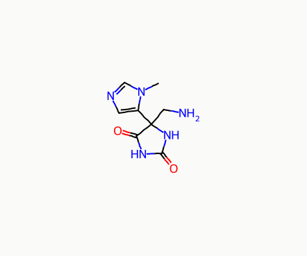 Cn1cncc1C1(CN)NC(=O)NC1=O